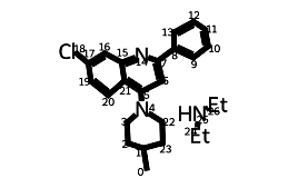 CC1CCN(c2cc(-c3ccccc3)nc3cc(Cl)ccc23)CC1.CCNCC